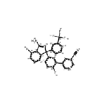 N#Cc1cncc(-c2cc(C3(c4ccnc(C(F)(F)F)c4)N=C(N)c4c(F)cccc43)ccc2F)c1